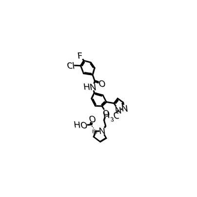 Cn1nccc1-c1cc(NC(=O)c2ccc(F)c(Cl)c2)ccc1OCCN1CCC[C@@H]1C(=O)O